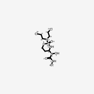 CCNC(=O)N(O)C1CCOP(=O)(N(CCCl)CCCl)N1